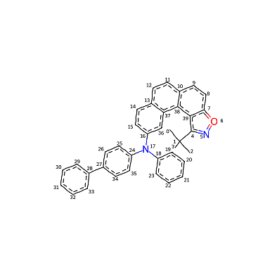 CC(C)(C)c1noc2ccc3ccc4ccc(N(c5ccccc5)c5ccc(-c6ccccc6)cc5)cc4c3c12